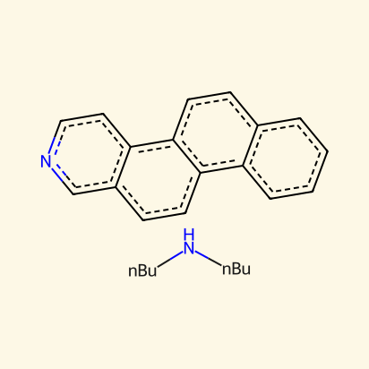 CCCCNCCCC.c1ccc2c(c1)ccc1c3ccncc3ccc21